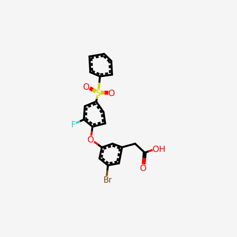 O=C(O)Cc1cc(Br)cc(Oc2ccc(S(=O)(=O)c3ccccc3)cc2F)c1